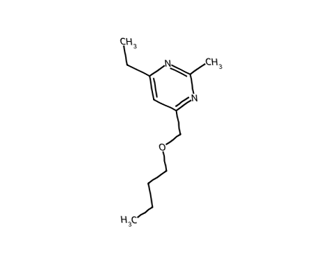 CCCCOCc1cc(CC)nc(C)n1